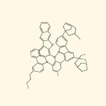 CCCCc1ccc(N2c3cc(C)cc4c3B(c3c2ccc2c3oc3cc5ccccc5cc32)n2c3ccc(C56CC=C(CC(C)C5)C6)cc3c3cc(C5(CC)CC6CCC(C6)C5)cc-4c32)c(-c2ccccc2)c1